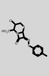 Cc1ccc(SN=C2C(=O)N3C2SCC(Cl)C3C(=O)O)cc1